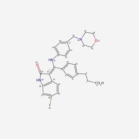 O=C(O)CCc1ccc(/C(Nc2ccc(CN3CCOCC3)cc2)=C2/C(=O)Nc3cc(F)ccc32)cc1